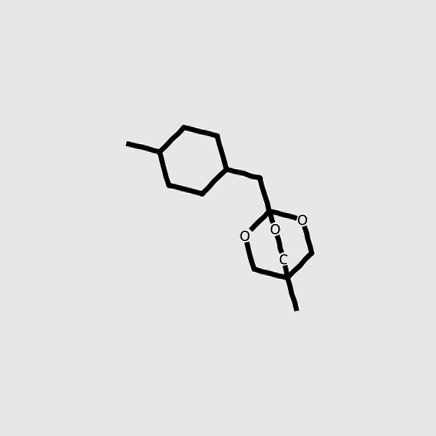 CC1CCC(CC23OCC(C)(CO2)CO3)CC1